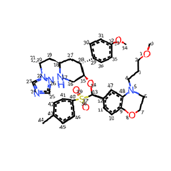 COCCCN1CCOc2ccc(C(O[C@H]3CN[C@@H](C[C@@H](C)n4cncn4)C[C@@H]3c3ccc(OC)cc3)S(=O)(=O)c3ccc(C)cc3)cc21